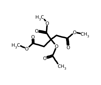 COC(=O)CC(CC(=O)OC)(OC(C)=O)C(=O)OC